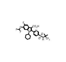 CC(C)(NS(=O)(=O)c1ccc(-c2c(C(=O)O)c3cc(F)c(OC(F)F)cc3n2C2CCCCC2)nc1)C(F)(F)F